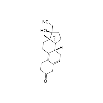 C[C@]12CCC3=C4CCC(=O)CC4=CC[C@H]3[C@@H]1CC[C@@]2(O)CC#N